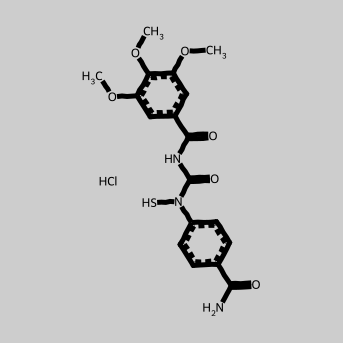 COc1cc(C(=O)NC(=O)N(S)c2ccc(C(N)=O)cc2)cc(OC)c1OC.Cl